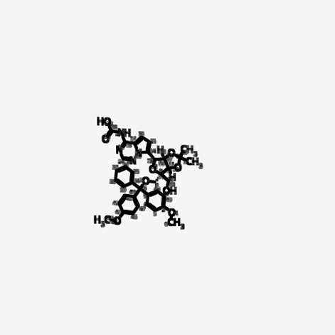 COc1ccc(C(OC[C@]2(CO)O[C@@H](c3ccc4c(NC(=O)O)ncnn34)[C@@H]3OC(C)(C)O[C@@H]32)(c2ccccc2)c2ccc(OC)cc2)cc1